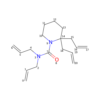 C=CCN(CC=C)C(=O)N1CCCCC1(CC=C)CC=C